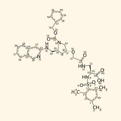 Cc1cc(C)c(S(=O)(=O)N[C@@H](CNC(=O)CO[C@@H]2C[C@@H](CNc3cc4ccccc4cn3)N(C(=O)OCc3ccccc3)C2)C(=O)O)c(C)c1